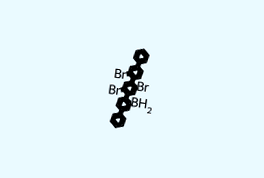 Bc1cc(-c2ccccc2)ccc1-c1cc(Br)c(-c2ccc(-c3ccccc3)cc2Br)cc1Br